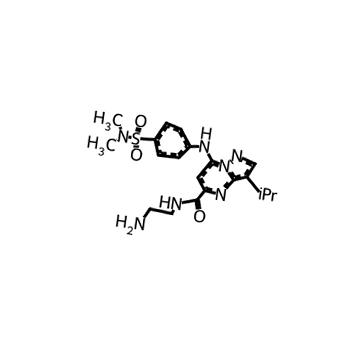 CC(C)c1cnn2c(Nc3ccc(S(=O)(=O)N(C)C)cc3)cc(C(=O)NCCN)nc12